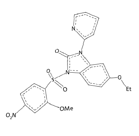 CCOc1ccc2c(c1)n(-c1ccccn1)c(=O)n2S(=O)(=O)c1ccc([N+](=O)[O-])cc1OC